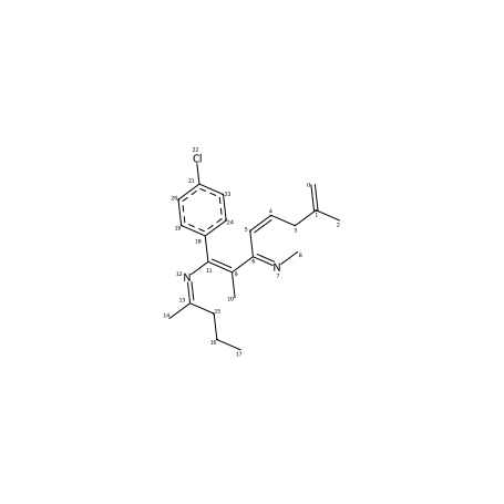 C=C(C)C\C=C/C(=N\C)C(/C)=C(/N=C(/C)CCC)c1ccc(Cl)cc1